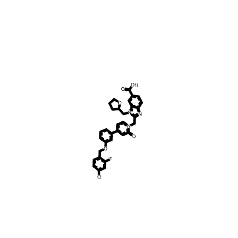 O=C(O)c1ccc2nc(Cn3ccc(-c4cccc(OCc5ccc(Cl)cc5F)c4)cc3=O)n(CC3CCCO3)c2c1